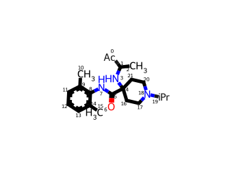 CC(=O)C(C)NC1(C(=O)Nc2c(C)cccc2C)CCN(C(C)C)CC1